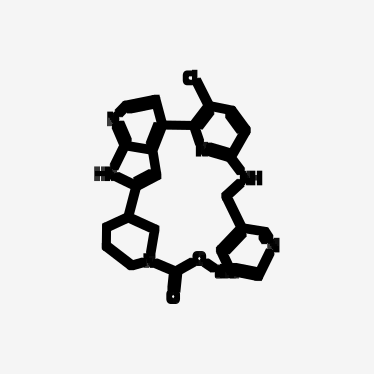 CC(C)(C)OC(=O)N1CCCC(c2cc3c(-c4nc(NCc5cccnc5)ccc4Cl)ccnc3[nH]2)C1